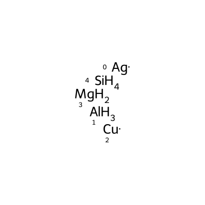 [Ag].[AlH3].[Cu].[MgH2].[SiH4]